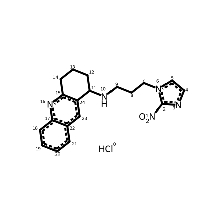 Cl.O=[N+]([O-])c1nccn1CCCNC1CCCc2nc3ccccc3cc21